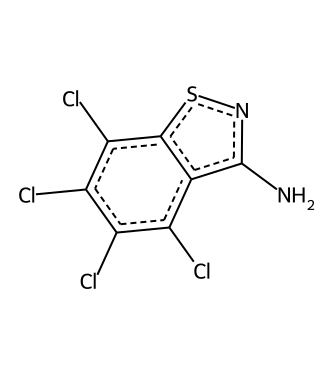 Nc1nsc2c(Cl)c(Cl)c(Cl)c(Cl)c12